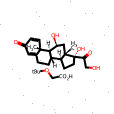 CC(C)(C)OCC(=O)O.C[C@]12C=CC(=O)C=C1CC[C@@H]1[C@@H]2[C@@H](O)C[C@@]2(C)[C@H]1CC[C@]2(O)C(=O)CO